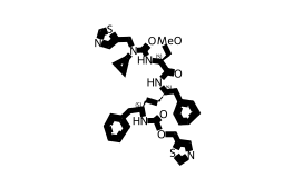 COC[C@H](NC(=O)N(Cc1cncs1)C1CC1)C(=O)N[C@@H](CC[C@@H](Cc1ccccc1)NC(=O)OCc1cncs1)Cc1ccccc1